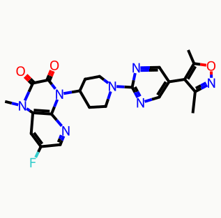 Cc1noc(C)c1-c1cnc(N2CCC(n3c(=O)c(=O)n(C)c4cc(F)cnc43)CC2)nc1